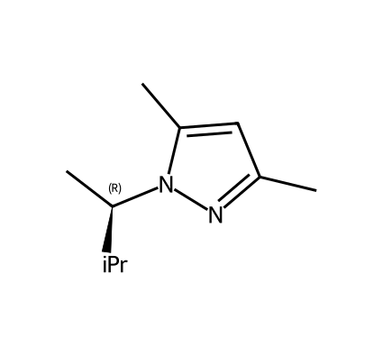 Cc1cc(C)n([C@H](C)C(C)C)n1